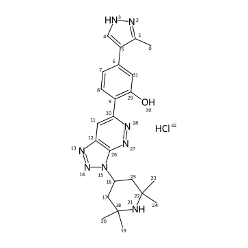 Cc1n[nH]cc1-c1ccc(-c2cc3nnn(C4CC(C)(C)NC(C)(C)C4)c3nn2)c(O)c1.Cl